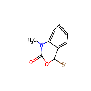 CN1C(=O)OC(Br)c2ccccc21